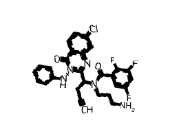 C#CCC(c1nc2cc(Cl)ccc2c(=O)n1Nc1ccccc1)N(CCCN)C(=O)c1cc(F)cc(F)c1F